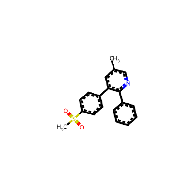 Cc1cnc(-c2ccccc2)c(-c2ccc(S(C)(=O)=O)cc2)c1